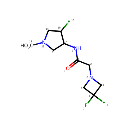 O=C(CN1CC(F)(F)C1)NC1CN(C(=O)O)CC1F